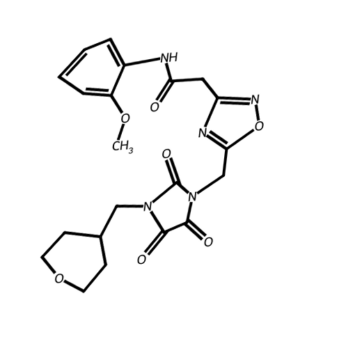 COc1ccccc1NC(=O)Cc1noc(CN2C(=O)C(=O)N(CC3CCOCC3)C2=O)n1